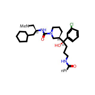 CCCC(=O)NCCC[C@@](O)(c1cccc(Cl)c1)[C@@H]1CCCN(C(=O)N[C@H](CNC)CC2CCCCC2)C1